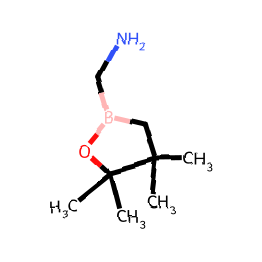 CC1(C)CB(CN)OC1(C)C